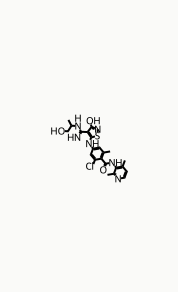 Cc1ccnc(C)c1NC(=O)c1c(C)cc(Nc2snc(O)c2C(=N)NC(C)CO)cc1Cl